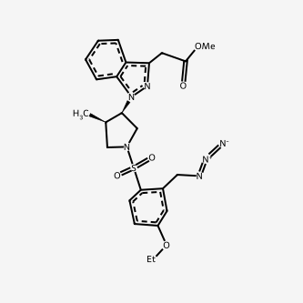 CCOc1ccc(S(=O)(=O)N2C[C@@H](C)[C@@H](n3nc(CC(=O)OC)c4ccccc43)C2)c(CN=[N+]=[N-])c1